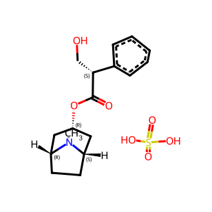 CN1[C@@H]2CC[C@H]1C[C@@H](OC(=O)[C@H](CO)c1ccccc1)C2.O=S(=O)(O)O